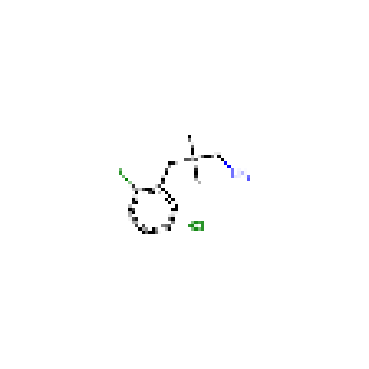 C[Si](C)(CN)Cc1ccccc1F.Cl